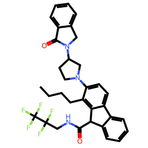 CCCCc1c(N2CCC(N3Cc4ccccc4C3=O)C2)ccc2c1C(C(=O)NCC(F)(F)C(F)(F)F)c1ccccc1-2